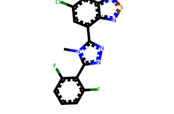 Cn1c(-c2c(F)cccc2F)nnc1-c1cc(Cl)cc2nsnc12